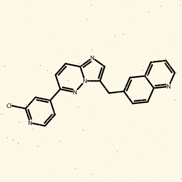 Clc1cc(-c2ccc3ncc(Cc4ccc5ncccc5c4)n3n2)ccn1